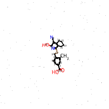 Cc1cc(C(=O)O)ccc1CSc1nc(O)c(C#N)c2c1CCCC2